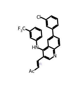 CC(=O)/C=C/c1cnc2ccc(-c3cccc(Cl)c3)cc2c1Nc1cccc(C(F)(F)F)c1